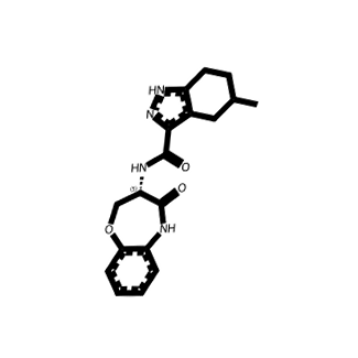 CC1CCc2[nH]nc(C(=O)N[C@H]3COc4ccccc4NC3=O)c2C1